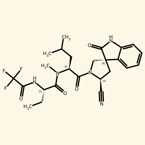 CC[C@H](NC(=O)C(F)(F)F)C(=O)N(C)[C@@H](CC(C)C)C(=O)N1C[C@]2(C[C@H]1C#N)C(=O)Nc1ccccc12